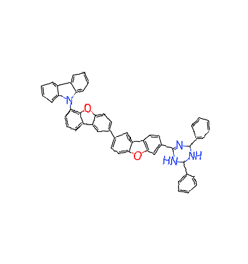 c1ccc(C2N=C(c3ccc4c(c3)oc3ccc(-c5ccc6oc7c(-n8c9ccccc9c9ccccc98)cccc7c6c5)cc34)NC(c3ccccc3)N2)cc1